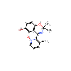 Cc1ccc[n+]([O-])c1C1=NC(C)(C)Oc2ccc(Br)cc21